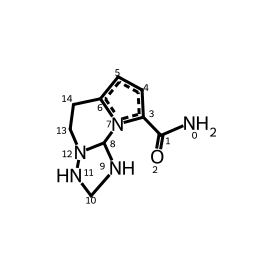 NC(=O)c1ccc2n1C1NCNN1CC2